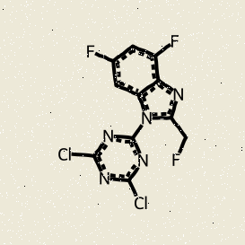 FCc1nc2c(F)cc(F)cc2n1-c1nc(Cl)nc(Cl)n1